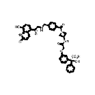 O=C(COc1cccc([C@](O)(C(=O)O)c2ccccc2)c1)NC1CN(C(=O)c2ccc(CNC[C@H](O)c3ccc(O)c4[nH]c(=O)ccc34)cc2)C1